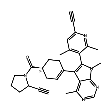 C#Cc1cc(C)c(-c2c(C3=CC[C@@H](C(=O)N4CCCC4C#C)CC3)c3c(C)ncnc3n2C)c(C)n1